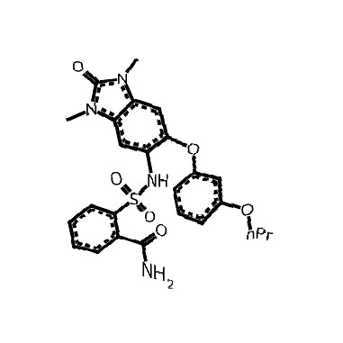 CCCOc1cccc(Oc2cc3c(cc2NS(=O)(=O)c2ccccc2C(N)=O)n(C)c(=O)n3C)c1